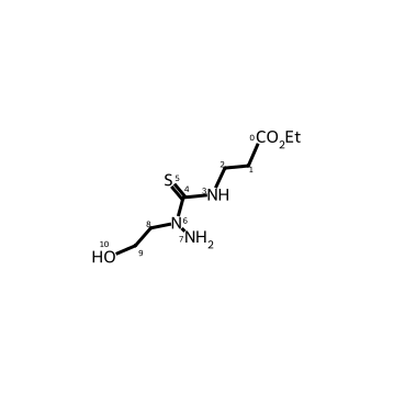 CCOC(=O)CCNC(=S)N(N)CCO